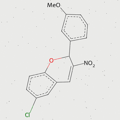 COc1cccc(C2Oc3ccc(Cl)cc3C=C2[N+](=O)[O-])c1